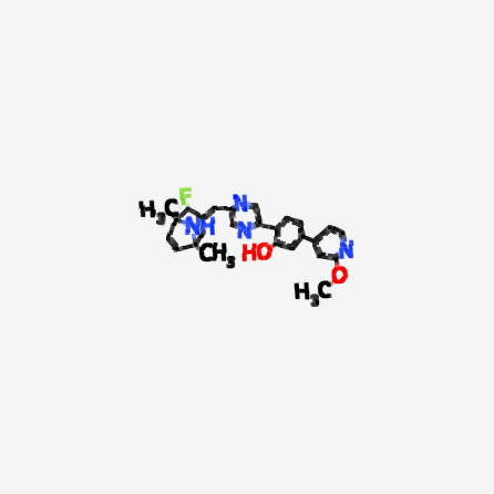 COc1cc(-c2ccc(-c3cnc(/C=C4\C[C@@]5(C)C=C[C@](C)(N5)[C@@H]4F)cn3)c(O)c2)ccn1